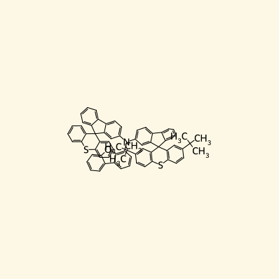 CC(C)(C)c1ccc2c(c1)C1(c3cc(C(C)(C)C)ccc3S2)c2ccccc2-c2ccc(N(c3ccc4c(c3)C3(c5ccccc5Sc5ccccc53)c3ccccc3-4)c3cccc4c3oc3ccccc34)cc21